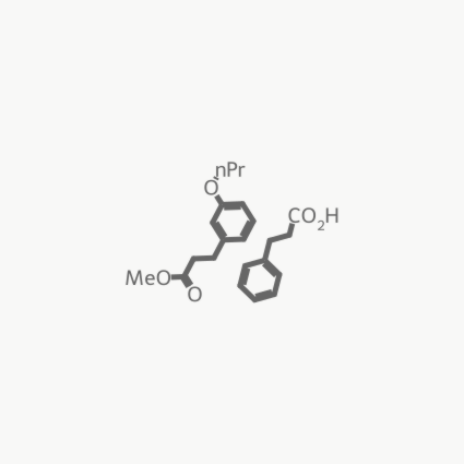 CCCOc1cccc(CCC(=O)OC)c1.O=C(O)CCc1ccccc1